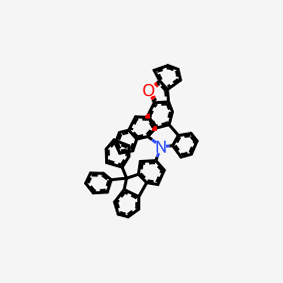 c1ccc(C2(c3ccccc3)c3ccccc3-c3ccc(N(c4ccccc4-c4ccc5oc6ccccc6c5c4)c4cccc5ccccc45)cc32)cc1